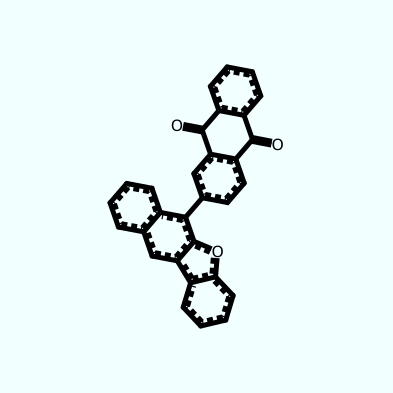 O=C1c2ccccc2C(=O)c2cc(-c3c4ccccc4cc4c3oc3ccccc34)ccc21